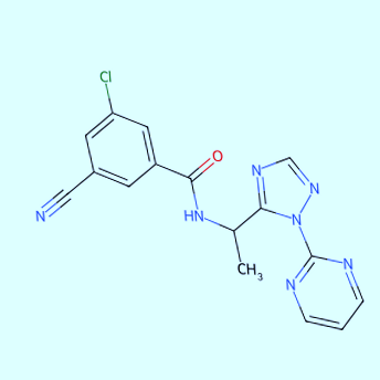 CC(NC(=O)c1cc(Cl)cc(C#N)c1)c1ncnn1-c1ncccn1